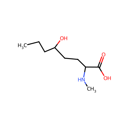 CCCC(O)CCC(NC)C(=O)O